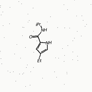 CCc1c[nH]c(C(=O)NC(C)C)c1